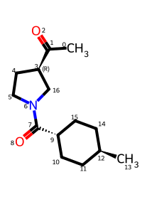 CC(=O)[C@@H]1CCN(C(=O)[C@H]2CC[C@H](C)CC2)C1